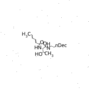 C/C=C/C=C/C(=O)N[C@H](C(=O)NCCCCCCCCCCCC)[C@@H](C)O